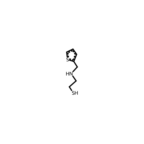 SCCNCc1cccs1